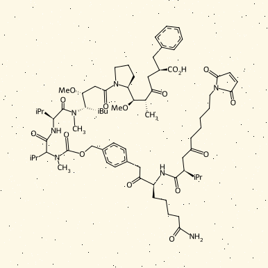 CC[C@@H](C)[C@@H]([C@@H](CC(=O)N1CCC[C@H]1[C@H](OC)[C@@H](C)C(=O)C[C@@H](Cc1ccccc1)C(=O)O)OC)N(C)C(=O)[C@@H](NC(=O)C(C(C)C)N(C)C(=O)OCc1ccc(CC(=O)[C@H](CCCCC(N)=O)NC(=O)[C@@H](CC(=O)CCCCCN2C(=O)C=CC2=O)C(C)C)cc1)C(C)C